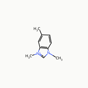 Cc1ccc2c(c1)[n+](C)cn2C